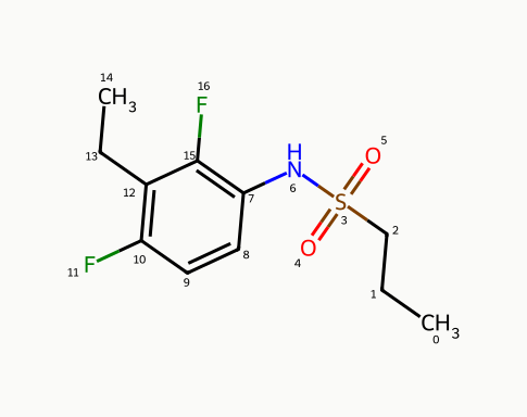 CCCS(=O)(=O)Nc1ccc(F)c(CC)c1F